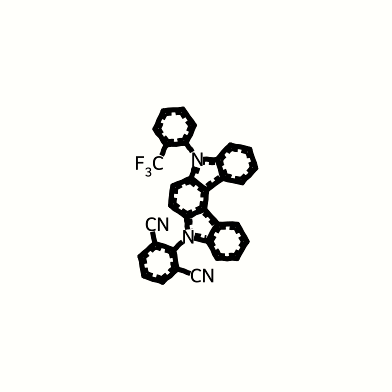 N#Cc1cccc(C#N)c1-n1c2ccccc2c2c3c4ccccc4n(-c4ccccc4C(F)(F)F)c3ccc21